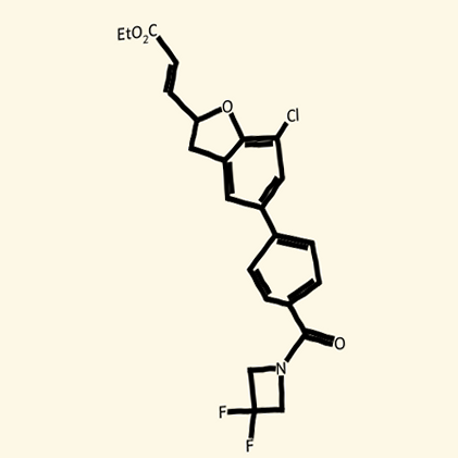 CCOC(=O)/C=C/C1Cc2cc(-c3ccc(C(=O)N4CC(F)(F)C4)cc3)cc(Cl)c2O1